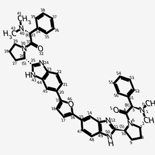 CN(C)[C@@H](C(=O)N1CCC[C@H]1c1nc2cc(-c3ccc(-c4ccc5nc([C@@H]6CCCN6C(=O)[C@@H](c6ccccc6)N(C)C)[nH]c5c4)o3)ccc2[nH]1)c1ccccc1